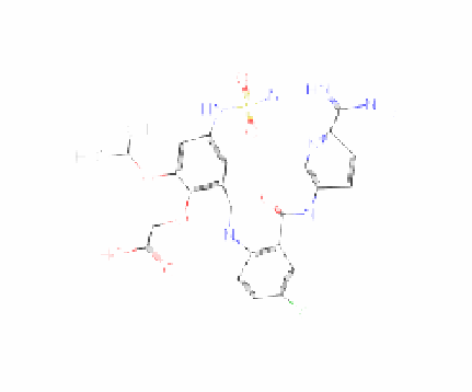 CC(C)Oc1cc(NS(N)(=O)=O)cc(CNc2ccc(Cl)cc2C(=O)Nc2ccc(C(=N)N)nc2)c1OCC(=O)O